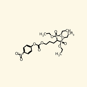 CCOP(=O)(OCC)C(CCCOC(=O)Oc1ccc([N+](=O)[O-])cc1)P(=O)(OCC)OCC